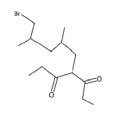 CCC(=O)C(CC(C)CC(C)CBr)C(=O)CC